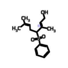 CC(C)=CCC(/C(C)=C/CO)S(=O)(=O)c1ccccc1